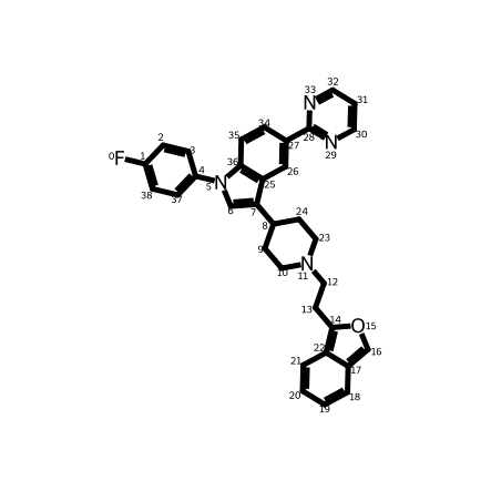 Fc1ccc(-n2cc(C3CCN(CCc4occ5ccccc45)CC3)c3cc(-c4ncccn4)ccc32)cc1